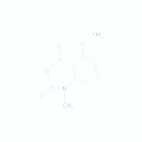 COc1cccc2c1c(=O)oc(=O)n2C